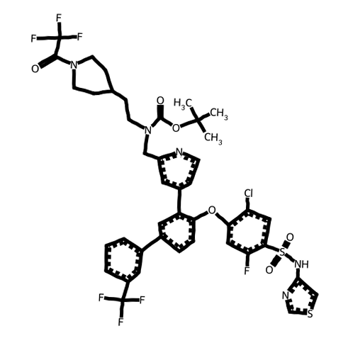 CC(C)(C)OC(=O)N(CCC1CCN(C(=O)C(F)(F)F)CC1)Cc1cc(-c2cc(-c3cccc(C(F)(F)F)c3)ccc2Oc2cc(F)c(S(=O)(=O)Nc3cscn3)cc2Cl)ccn1